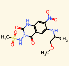 COCC(C)Nc1cc2c(=O)n(NS(C)(=O)=O)c(=O)[nH]c2cc1[N+](=O)[O-]